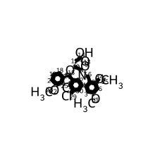 COc1ccc(CN2C(=O)[C@@H](CC(=O)O)O[C@H](c3cccc(OC)c3Cl)c3cc(Cl)ccc32)c(OC)c1